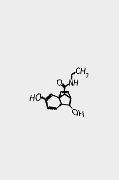 CCNC(=O)C1C2C=CC13C=C(O)C=CC3C2O